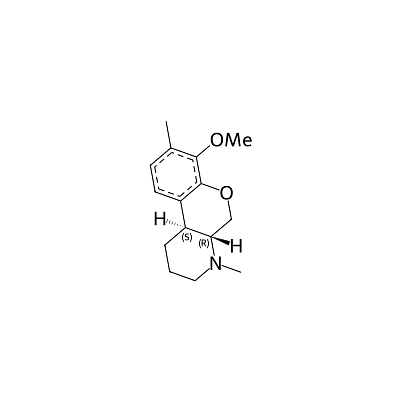 COc1c(C)ccc2c1OC[C@H]1[C@H]2CCCN1C